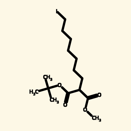 COC(=O)C(CCCCCCCI)C(=O)OC(C)(C)C